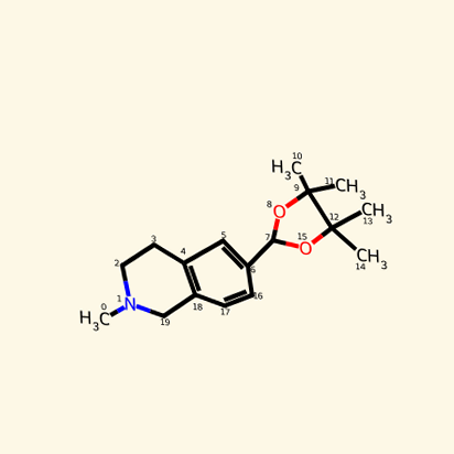 CN1CCc2cc(C3OC(C)(C)C(C)(C)O3)ccc2C1